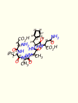 CC(C)C[C@H](NC(=O)[C@@H](N)CC(=O)O)C(=O)N[C@@H](C)C(=O)N[C@@H](C)C(=O)N[C@@H](Cc1ccccc1)C(=O)N[C@@H](CC(N)=O)C(=O)O